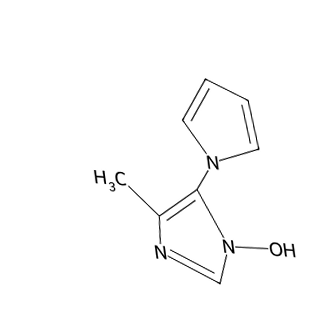 Cc1ncn(O)c1-n1cccc1